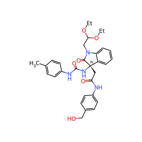 CCOC(CN1C(=O)[C@@](CC(=O)Nc2ccc(CO)cc2)(NC(=O)Nc2ccc(C)cc2)c2ccccc21)OCC